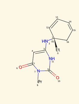 CC[C@@]1(Nc2cc(=O)n(C(C)C)c(=O)[nH]2)C=CC=CC1